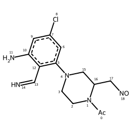 CC(=O)N1CCN(c2cc(Cl)cc(N)c2C=N)CC1CN=O